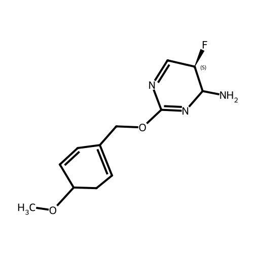 COC1C=CC(COC2=NC(N)[C@H](F)C=N2)=CC1